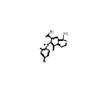 Nc1ncnc2c(F)c(Nc3ccc(Br)cc3F)c(C(=O)O)cc12